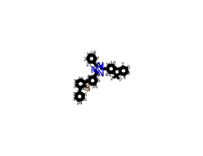 CC1(C)c2ccccc2-c2ccc(-c3nc(-c4ccccc4)nc(-c4ccc5sc6c(-c7ccccc7)cccc6c5c4)n3)cc21